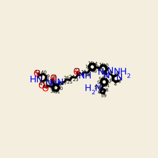 Nc1ncccc1-c1nc2ccc(-c3cccc(CCNC(=O)CCCCCNc4cccc5c4C(=O)N(C4CCC(=O)NC4=O)C5=O)c3)nc2n1-c1ccc(C2(N)CCC2)cc1